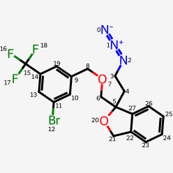 [N-]=[N+]=NCCC1(COCc2cc(Br)cc(C(F)(F)F)c2)OCc2ccccc21